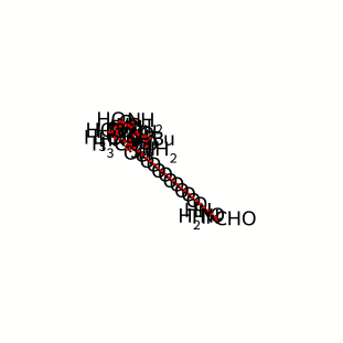 CC[C@H](C)C(NC(=O)CN)C(=O)NCC(=O)N[C@H]1C[S+]([O-])c2[nH]c3c(CSCCOCCOCCOCCOCCOCCOCCOCCOCCOCCOCCOCCN/C=C(\N)CNC(=O)/C=C\C=O)c(O)ccc3c2C[C@@H](C)NC(=O)[C@H]([C@@H](C)[C@@H](O)CO)NC(=O)[C@@H]2C[C@@H](O)CN2C(=O)[C@H](CC(N)=O)NC1=O